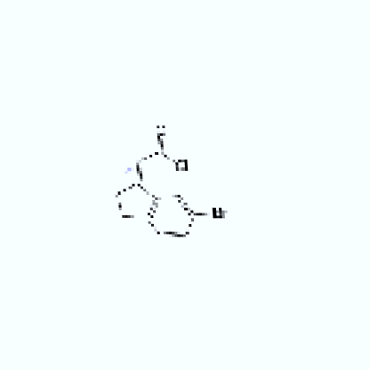 O=C(Cl)/C=C1/CCc2ccc(Br)cc21